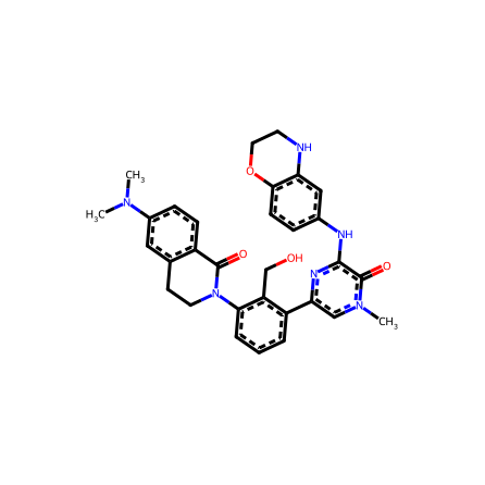 CN(C)c1ccc2c(c1)CCN(c1cccc(-c3cn(C)c(=O)c(Nc4ccc5c(c4)NCCO5)n3)c1CO)C2=O